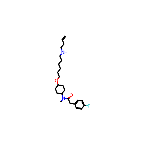 C=CCCNCCCCCCOC1CCC(N(C)C(=O)Cc2ccc(F)cc2)CC1